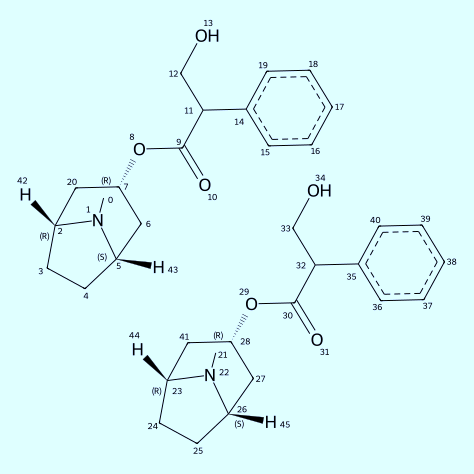 CN1[C@@H]2CC[C@H]1C[C@@H](OC(=O)C(CO)c1ccccc1)C2.CN1[C@@H]2CC[C@H]1C[C@@H](OC(=O)C(CO)c1ccccc1)C2